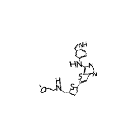 COCCNCc1ccc(-c2cc3ncnc(Nc4ccc5[nH]ccc5c4)c3s2)s1